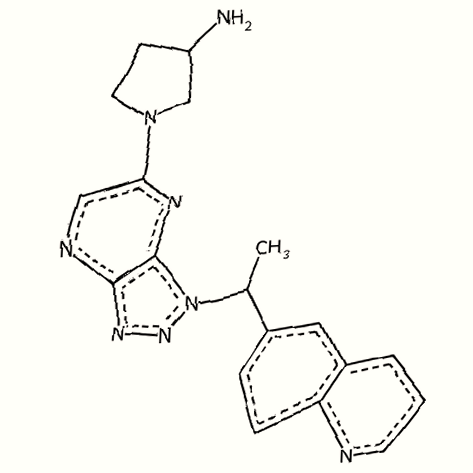 CC(c1ccc2ncccc2c1)n1nnc2ncc(N3CCC(N)C3)nc21